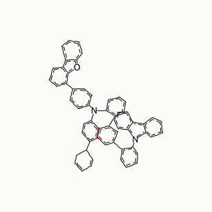 C1=CCC(c2ccc(N(c3ccc(-c4cccc5c4oc4ccccc45)cc3)c3ccccc3-c3cccc(-c4ccccc4-n4c5ccccc5c5ccccc54)c3)cc2)C=C1